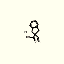 C=CC1(C(=O)O)Cc2ccccc2C1.Cl